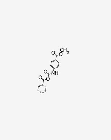 COC(=O)c1ccc(NC(=O)OC(=O)c2ccccc2)cc1